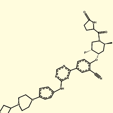 C[C@H]1C[C@H](Oc2ccc(-c3ncnc(Nc4ccc(N5CCN(C6COC6)CC5)cc4)n3)cc2C#N)[C@H](F)CN1C(=O)C1CCC(=O)N1